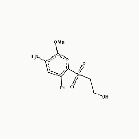 CCc1cc(N)c(OC)cc1S(=O)(=O)CCO